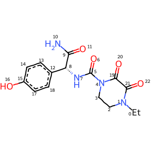 CCN1CCN(C(=O)N[C@@H](C(N)=O)c2ccc(O)cc2)C(=O)C1=O